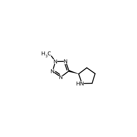 Cn1nnc([C@H]2CCCN2)n1